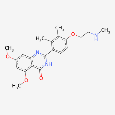 CNCCOc1ccc(-c2nc3cc(OC)cc(OC)c3c(=O)[nH]2)c(C)c1C